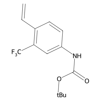 C=Cc1ccc(NC(=O)OC(C)(C)C)cc1C(F)(F)F